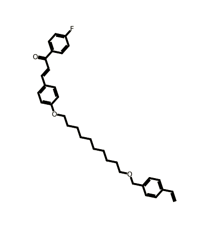 C=Cc1ccc(COCCCCCCCCCCOc2ccc(C=CC(=O)c3ccc(F)cc3)cc2)cc1